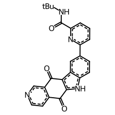 CC(C)(C)NC(=O)c1cccc(-c2ccc3[nH]c4c(c3c2)C(=O)c2cnccc2C4=O)n1